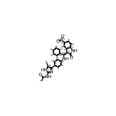 CC(=O)Nc1nc(-c2ccc(N/C(=C3\C(=O)Nc4ccc([N+](=O)[O-])cc43)c3ccccc3)cc2)c(C)[nH]1